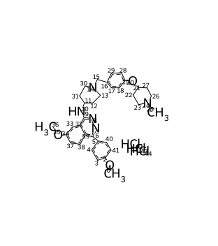 COc1ccc(-c2nnc(NC3CCN(Cc4ccc(OC5CCN(C)CC5)cc4)CC3)c3cc(OC)ccc23)cc1.Cl.Cl.Cl